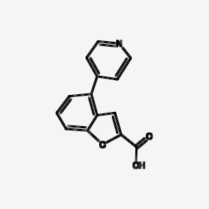 O=C(O)c1cc2c(-c3ccncc3)cccc2o1